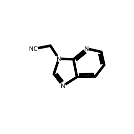 N#CCn1cnc2cccnc21